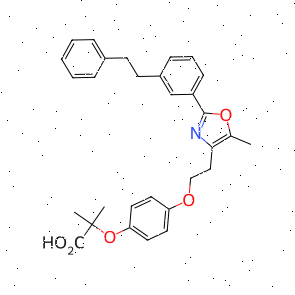 Cc1oc(-c2cccc(CCc3ccccc3)c2)nc1CCOc1ccc(OC(C)(C)C(=O)O)cc1